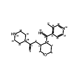 C=C(CC1COCCN1C(=N)c1ccncc1C)N1CCNCC1